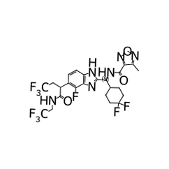 Cc1nonc1C(=O)N[C@H](c1nc2c(F)c(C(CC(F)(F)F)C(=O)NCC(F)(F)F)ccc2[nH]1)C1CCC(F)(F)CC1